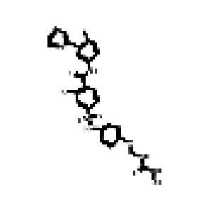 O=C(NO)NCOc1ccc(NS(=O)(=O)c2ccc(C(=O)Nc3ccc(Cl)c(-c4ccccn4)c3)c(Cl)c2)cc1